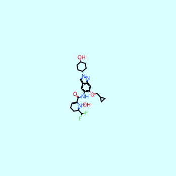 O=C(Nc1cc2cn([C@H]3CC[C@H](O)CC3)nc2cc1OCC1CC1)C1=CCCC(C(F)F)=[N+]1O